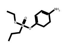 CCCP(=O)(OCC)OC1=CC=C(N)CC1